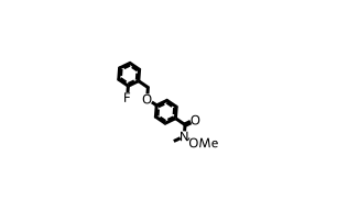 CON(C)C(=O)c1ccc(OCc2ccccc2F)cc1